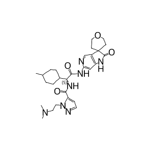 CC1CCC([C@H](NC(=O)c2ccnn2CCN(C)C)C(=O)Nc2cc3c(cn2)C2(CCOCC2)C(=O)N3)CC1